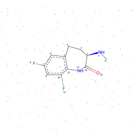 CN[C@@H]1CCc2cc(F)cc(F)c2NC1=O